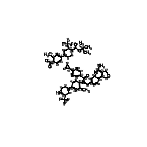 Cc1nc(N2CCN(C(=O)OC(C)(C)C)C(C(F)(F)F)C2)ccc1[N+](=O)[O-].Cc1nc(N2CCNC(C(F)(F)F)C2)ccc1N(Cc1ccc2c3c(c(N)nc2c1)COC3)C(=O)c1cnc(C2CC2)nc1